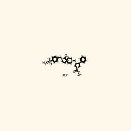 CC(C)OC(=O)N1C[C@H](CN2CCC3(CC2)CCN(Cc2ccc(S(C)(=O)=O)cc2)C3=O)[C@@H](c2ccccc2)C1.Cl